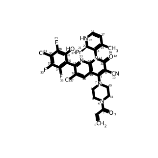 C=CC(=O)N1CCN(c2c(C#N)c(=O)n(C3=C(C)C=CN[C@@H]3C(C)C)c3nc(-c4c(O)c(F)c(Cl)c(F)c4F)c(Cl)cc23)CC1